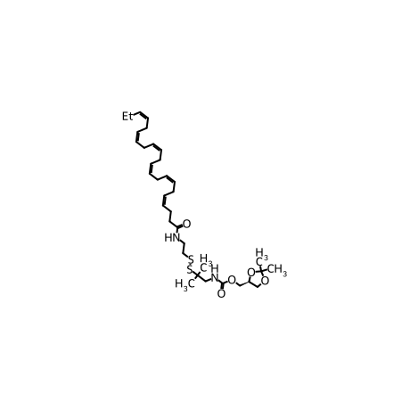 CC/C=C\C/C=C\C/C=C\C/C=C\C/C=C\C/C=C\CCC(=O)NCCSSC(C)(C)CNC(=O)OC[C@@H]1COC(C)(C)O1